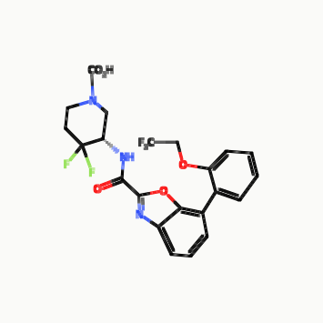 O=C(N[C@H]1CN(C(=O)O)CCC1(F)F)c1nc2cccc(-c3ccccc3OCC(F)(F)F)c2o1